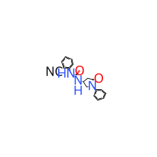 N#Cc1ccccc1NC(=O)NC1CC(=O)N(c2ccccc2)C1